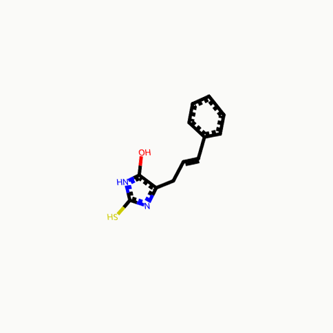 Oc1[nH]c(S)nc1CC=Cc1ccccc1